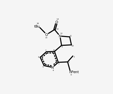 CCCCCC(C)c1ncccc1C1CCN1C(=O)OC(C)(C)C